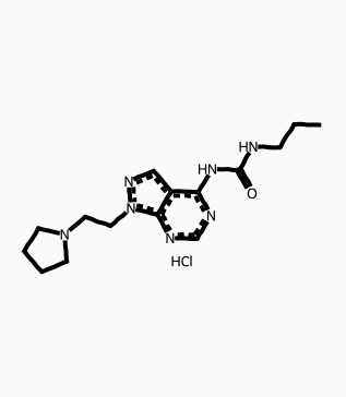 CCCNC(=O)Nc1ncnc2c1cnn2CCN1CCCC1.Cl